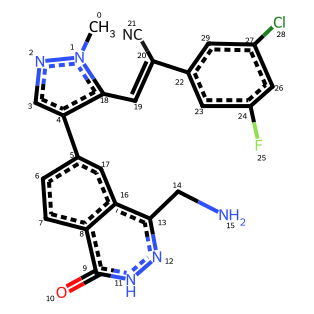 Cn1ncc(-c2ccc3c(=O)[nH]nc(CN)c3c2)c1/C=C(\C#N)c1cc(F)cc(Cl)c1